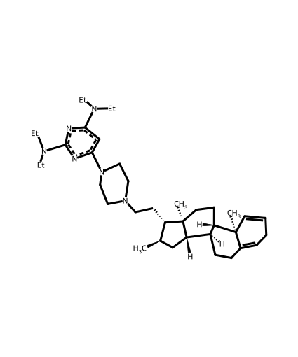 CCN(CC)c1cc(N2CCN(CC[C@H]3[C@H](C)C[C@H]4[C@@H]5CCC6=CCC=C[C@]6(C)[C@H]5CC[C@@]43C)CC2)nc(N(CC)CC)n1